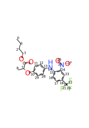 CCCCOC(=O)C(C)Oc1ccc(Nc2ccc(C(F)(F)F)cc2[N+](=O)[O-])cc1